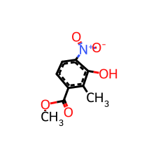 COC(=O)c1ccc([N+](=O)[O-])c(O)c1C